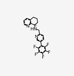 Fc1c(F)c(F)c(-c2ccc(CN[C@@H]3CCCc4cccnc43)nc2)c(F)c1F